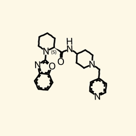 O=C(NC1CCN(Cc2ccncc2)CC1)[C@@H]1CCCCN1c1nc2ccccc2o1